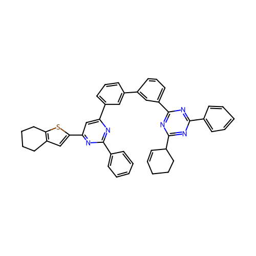 C1=CC(c2nc(-c3ccccc3)nc(-c3cccc(-c4cccc(-c5cc(-c6cc7c(s6)CCCC7)nc(-c6ccccc6)n5)c4)c3)n2)CCC1